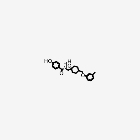 Cc1cccc(OCC2CCC(O)(CNC(=O)c3ccc(O)cc3)CC2)c1